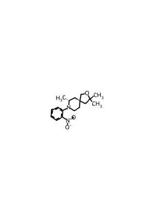 C[C@@H]1C[C@@]2(CCN1c1ccccc1[N+](=O)[O-])COC(C)(C)C2